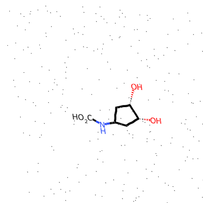 O=C(O)NC1C[C@@H](O)[C@@H](O)C1